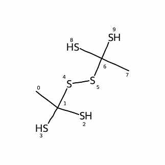 CC(S)(S)SSC(C)(S)S